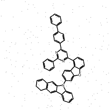 C1=Cc2cc3c(cc2CC1)c1ccccc1n3-c1ccc2c(c1)oc1cccc(-c3cc(-c4ccc(-c5ccccc5)cc4)nc(-c4ccccc4)n3)c12